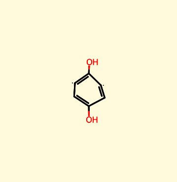 Oc1[c]cc(O)c[c]1